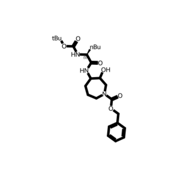 CCCC[C@H](NC(=O)OC(C)(C)C)C(=O)NC1CCCN(C(=O)OCc2ccccc2)CC1O